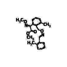 CO/N=C(/C(=O)OC)c1cccc(C)c1CO/N=C/c1ccccc1C